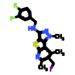 Cc1nc2sc3c(NCc4ccc(F)c(F)c4)nn(C)c3c2c(C)c1CI